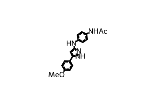 COc1ccc(-c2cc(Nc3ccc(NC(C)=O)cc3)n[nH]2)cc1